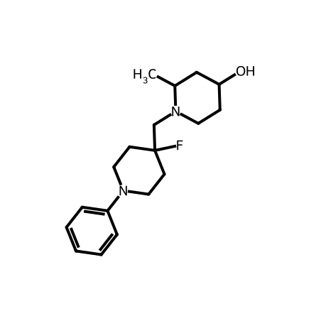 CC1CC(O)CCN1CC1(F)CCN(c2ccccc2)CC1